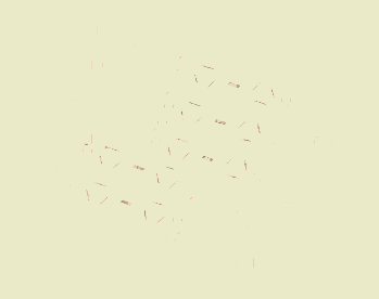 CCCCCOc1ccc(C#Cc2ccc(OC(=O)[C@H]3CC[C@H](CCC)CC3)cc2)cc1.CCCCOc1ccc(C#Cc2ccc(OC(=O)[C@H]3CC[C@H](CCC)CC3)cc2)cc1.CCCOc1ccc(C#Cc2ccc(OC(=O)[C@H]3CC[C@H](CCC)CC3)cc2)cc1.CCC[C@H]1CC[C@H](C(=O)Oc2ccc(C#Cc3ccc(OC)cc3)cc2)CC1.CCC[C@H]1CC[C@H](C(=O)Oc2ccc(C#Cc3ccc(OCC)cc3)cc2)CC1